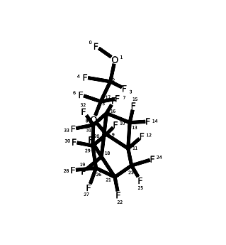 FOC(F)(F)C(F)(F)OC1(F)C2(F)C(F)(F)C3(F)C(F)(F)C(F)(C2(F)F)C(F)(F)C1(F)C3(F)F